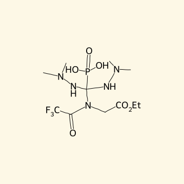 CCOC(=O)CN(C(=O)C(F)(F)F)C(NN(C)C)(NN(C)C)P(=O)(O)O